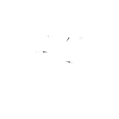 CC1O[C@H]2O[C@H](CO)[C@@H](O)[C@H](O)[C@@H]2O1